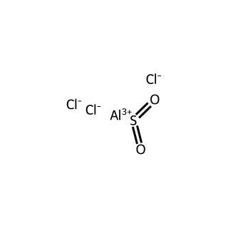 O=S=O.[Al+3].[Cl-].[Cl-].[Cl-]